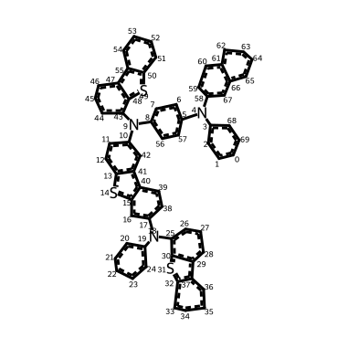 c1ccc(N(c2ccc(N(c3ccc4sc5cc(N(c6ccccc6)c6cccc7c6sc6ccccc67)ccc5c4c3)c3cccc4c3sc3ccccc34)cc2)c2ccc3ccccc3c2)cc1